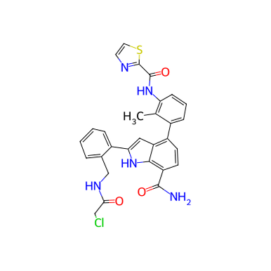 Cc1c(NC(=O)c2nccs2)cccc1-c1ccc(C(N)=O)c2[nH]c(-c3ccccc3CNC(=O)CCl)cc12